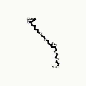 C#C/C(CCCCCOCCOCCc1cc(COCCOCCOC)no1)=N\OC